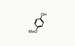 COc1c[c]c(O)cc1